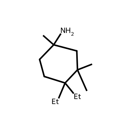 CCC1(CC)CCC(C)(N)CC1(C)C